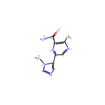 Cc1ncc(-c2cncn2C)nc1C(N)=O